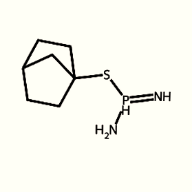 N=[PH](N)SC12CCC(CC1)C2